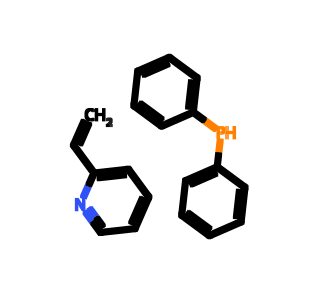 C=Cc1ccccn1.c1ccc(Pc2ccccc2)cc1